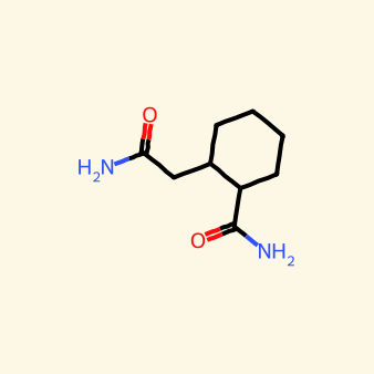 NC(=O)CC1CCCCC1C(N)=O